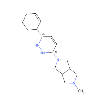 CN1CC2CN([C@H]3C=C[C@@H](C4C=CCCC4)NN3)CC2C1